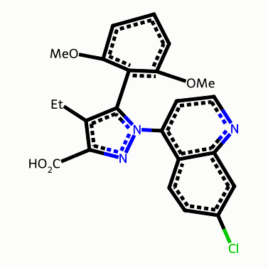 CCc1c(C(=O)O)nn(-c2ccnc3cc(Cl)ccc23)c1-c1c(OC)cccc1OC